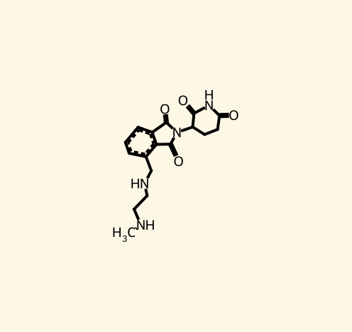 CNCCNCc1cccc2c1C(=O)N(C1CCC(=O)NC1=O)C2=O